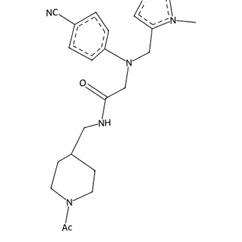 CC(=O)N1CCC(CNC(=O)CN(Cc2cncn2C)c2ccc(C#N)cc2)CC1